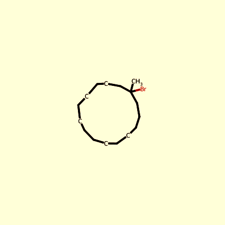 CC1(Br)CCCCCCCCCCCCCC1